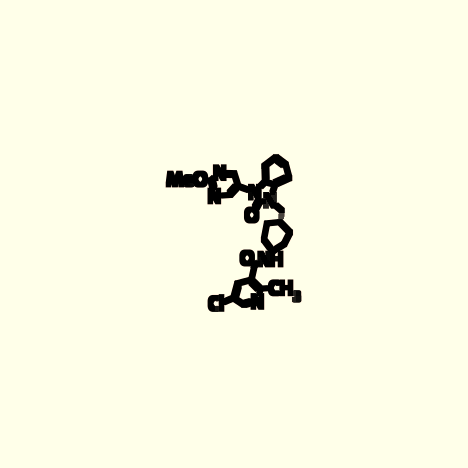 COc1ncc(-n2c(=O)n(C[C@H]3CC[C@H](NC(=O)c4cc(Cl)cnc4C)CC3)c3ccccc32)cn1